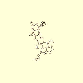 CCOC(=O)c1ccc(-c2cc3c(Cl)c4cc(F)cc(NC)c4nc3[nH]2)c(CN(C)C2CCCCC2)c1